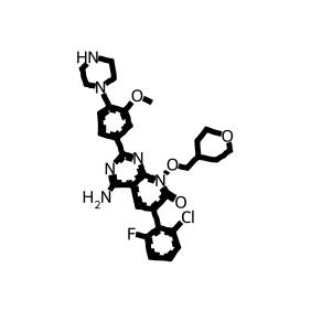 COc1cc(-c2nc(N)c3cc(-c4c(F)cccc4Cl)c(=O)n(OCC4CCOCC4)c3n2)ccc1N1CCNCC1